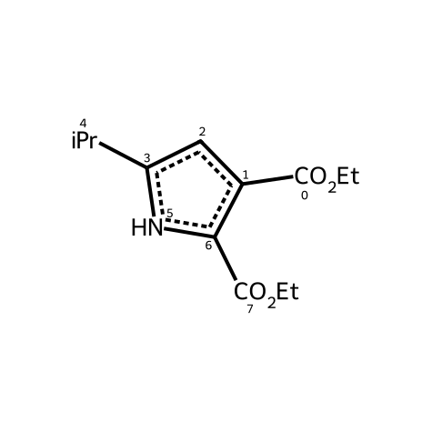 CCOC(=O)c1cc(C(C)C)[nH]c1C(=O)OCC